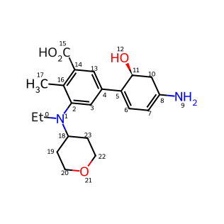 CCN(c1cc(C2=CC=C(N)C[C@@H]2O)cc(C(=O)O)c1C)C1CCOCC1